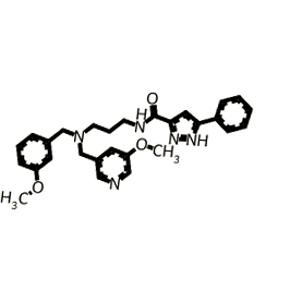 COc1cccc(CN(CCCNC(=O)c2cc(-c3ccccc3)[nH]n2)Cc2cncc(OC)c2)c1